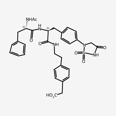 CC(=O)N[C@@H](Cc1ccccc1)C(=O)N[C@@H](Cc1ccc(N2CC(=O)NS2(=O)=O)cc1)C(=O)NCCc1ccc(CC(=O)O)cc1